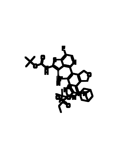 CCS(=O)(=O)c1nc(N2C3CC2CN(C(=O)OC(C)(C)C)C3)c2c3c(c(-c4ncc(F)c5sc(NC(=O)OC(C)(C)C)c(C#N)c45)c(F)c2n1)COC3